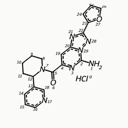 Cl.Nc1nc(C(=O)N2CCCCC2c2cccnc2)cc2nc(-c3ccco3)nn12